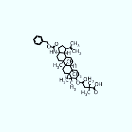 C=C(C)[C@@H]1CC[C@]2(NC(=O)OCc3ccccc3)CC[C@]3(C)C(CC[C@@H]4C5(C)CCC(OC(=O)CC(C)(C)C(=O)O)C(C)(C)[C@@H]5CCC43C)[C@@H]12